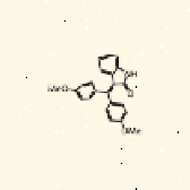 COc1ccc(C(=C2C(=O)Nc3ccccc32)c2ccc(OC)cc2)cc1